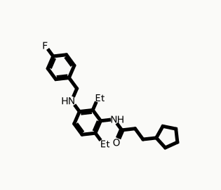 CCc1ccc(NCc2ccc(F)cc2)c(CC)c1NC(=O)CCC1CCCC1